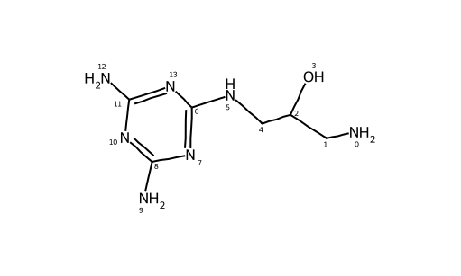 NCC(O)CNc1nc(N)nc(N)n1